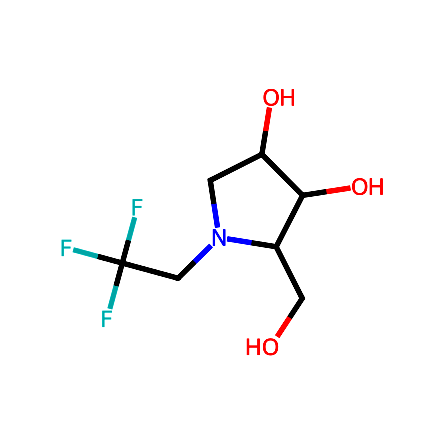 OCC1C(O)C(O)CN1CC(F)(F)F